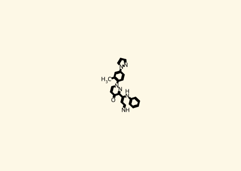 Cc1cc(-n2cccn2)ccc1-n1ccc(=O)c(/C(=C/C=N)Nc2ccccc2)n1